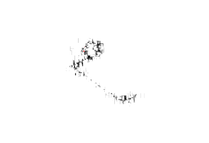 C=C1C[C@@]23C[C@H]4OC5C(O[C@H]6CC[C@H](CC(=O)C[C@@H]7[C@@H](OC)[C@@H](C[C@H](O)CNC(=O)CNC(=O)[C@H](Cc8ccccc8)NC(=O)CNC(=O)CNC(=O)CCOCCOCCN(CCOCCOCCC(=O)NCC(=O)NCC(=O)N[C@@H](Cc8ccccc8)C(=O)NCC(=O)NC[C@H](C)O)C8CCCCC8)O[C@H]7C[C@H]7O[C@@H](CC[C@@H]1OC)C[C@@H](C)C7=C)O[C@@H]6[C@@H]5O2)[C@H]4O3